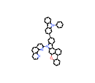 c1ccc(-n2c3ccccc3c3ccc(-c4ccc5c6c7cccc8c7c(cc6n(-c6ccc7ccc9cccnc9c7n6)c5c4)Oc4ccccc4-8)cc32)cc1